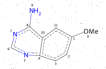 COc1ccc2ncnc(N)c2c1